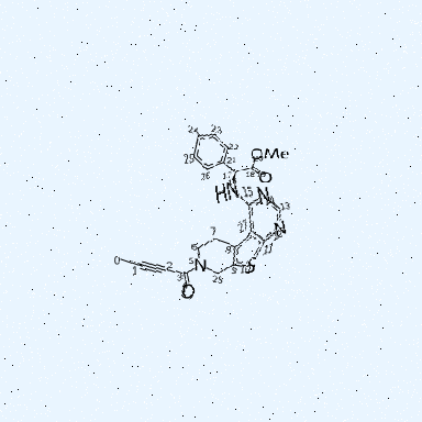 CC#CC(=O)N1CCc2c(sc3ncnc(N[C@H](C(=O)OC)c4ccccc4)c23)C1